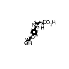 O=C(O)NCc1cnc(-c2ccc(OCCCO)cc2)s1